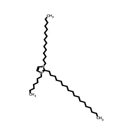 CCCCCCCCCCCCCCCCCCc1n(CCCCCCCCCCCCCCC)cc[n+]1CCCCCCC